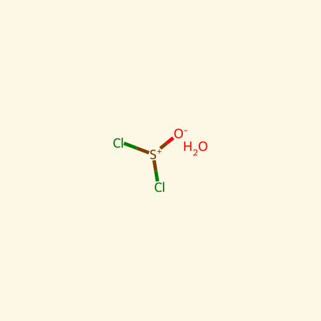 O.[O-][S+](Cl)Cl